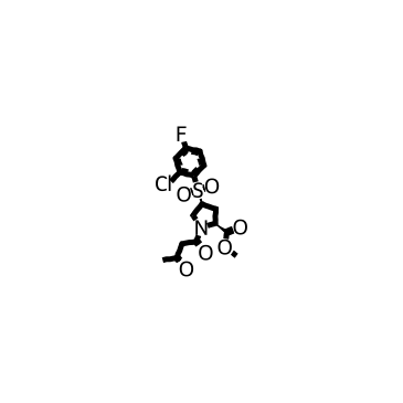 COC(=O)[C@@H]1C[C@@H](S(=O)(=O)c2ccc(F)cc2Cl)CN1C(=O)CC(C)=O